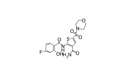 NC(=O)c1cc(S(=O)(=O)N2CCOCC2)sc1NC(=O)c1ccc(F)cc1O